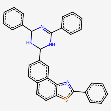 c1ccc(C2=NC(c3ccccc3)NC(c3ccc4ccc5sc(-c6ccccc6)nc5c4c3)N2)cc1